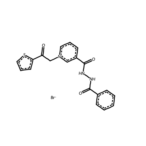 O=C(NNC(=O)c1ccc[n+](CC(=O)c2cccs2)c1)c1ccccc1.[Br-]